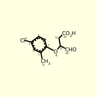 Cc1cc(Cl)ccc1OC(C=O)CC(=O)O